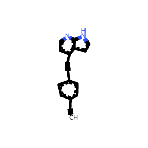 C#Cc1ccc(C#Cc2ccnc3[nH]ccc23)cc1